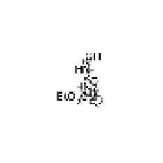 CCOC(=O)c1c(NC(=O)CCNCCO)sc2c1CCCC2